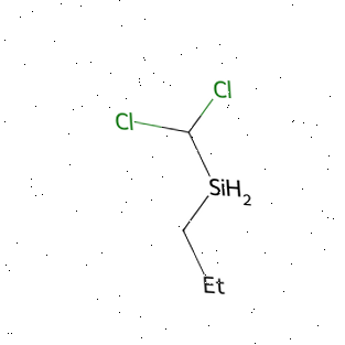 CCC[SiH2]C(Cl)Cl